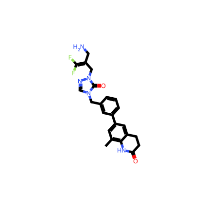 Cc1cc(-c2cccc(Cn3cnn(CC(CN)=C(F)F)c3=O)c2)cc2c1NC(=O)CC2